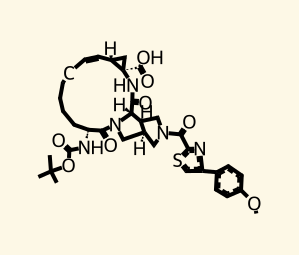 COc1ccc(-c2csc(C(=O)N3C[C@H]4CN5C(=O)[C@H](NC(=O)OC(C)(C)C)CCCCC/C=C\[C@@H]6C[C@@]6(C(=O)O)NC(=O)[C@@H]5[C@H]4C3)n2)cc1